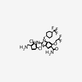 NCc1ccc(Cl)c(Nc2nc3cc(C(N)=O)c(OCC(F)F)cc3n2C[C@H]2CC[C@H](C(F)(F)F)CC2)c1Cl